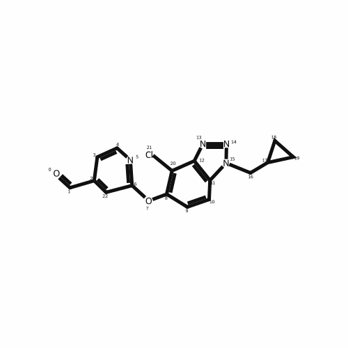 O=Cc1ccnc(Oc2ccc3c(nnn3CC3CC3)c2Cl)c1